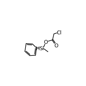 C[SiH](OC(=O)CCl)c1ccccc1